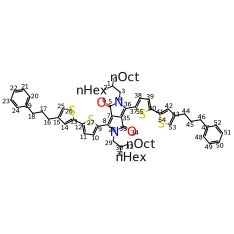 CCCCCCCCC(CCCCCC)CN1C(=O)C2=C(c3ccc(-c4cc(CCCc5ccccc5)cs4)s3)N(CC(CCCCCC)CCCCCCCC)C(=O)C2=C1c1ccc(-c2cc(CCCc3ccccc3)cs2)s1